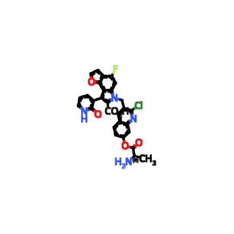 C[C@@H](N)C(=O)Oc1ccc2cc(Cn3c(C(=O)O)c(-c4ccc[nH]c4=O)c4c5occc5c(F)cc43)c(Cl)nc2c1